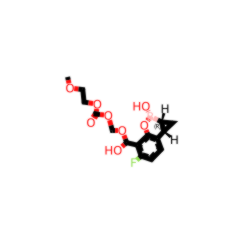 COCCOC(=O)OCOC(O)c1c(F)ccc2c1OB(O)[C@@H]1C[C@H]21